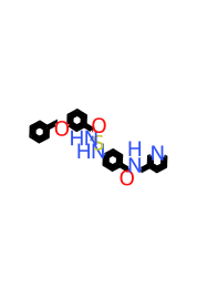 O=C(NCc1cccnc1)c1ccc(NSNC(=O)c2cccc(OCc3ccccc3)c2)cc1